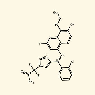 CC(C)(C)CNc1c(C#N)cnc2c(N[C@H](c3cn(C(F)(F)C(N)=O)nn3)c3ccccc3Cl)cc(F)cc12